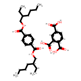 CCCCC(CC)COC(=O)c1ccc(C(=O)OCC(CC)CCCC)cc1.O=C(O)c1ccc(C(=O)O)c(C(=O)O)c1